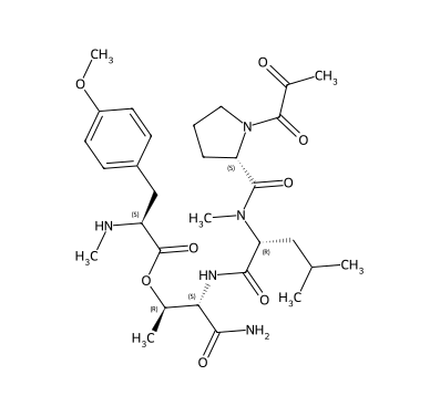 CN[C@@H](Cc1ccc(OC)cc1)C(=O)O[C@H](C)[C@H](NC(=O)[C@@H](CC(C)C)N(C)C(=O)[C@@H]1CCCN1C(=O)C(C)=O)C(N)=O